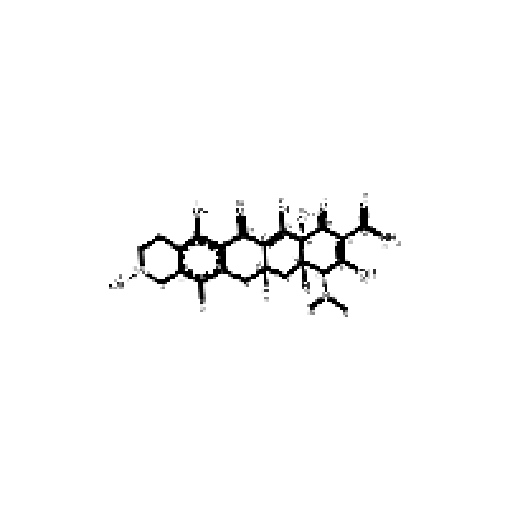 CC[C@@H](C)N1CCc2c(O)c3c(c(F)c2C1)C[C@H]1C[C@H]2[C@H](N(C)C)C(O)=C(C(N)=O)C(=O)[C@@]2(O)C(O)=C1C3=O